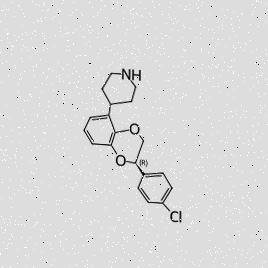 Clc1ccc([C@@H]2COc3c(cccc3C3CCNCC3)O2)cc1